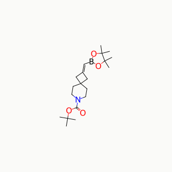 CC(C)(C)OC(=O)N1CCC2(CC1)CC(=CB1OC(C)(C)C(C)(C)O1)C2